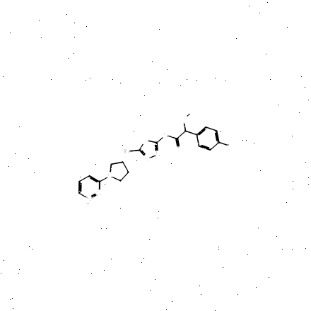 CCOC(C(=O)Nc1nnc(N[C@@H]2CCN(c3cccnn3)C2)s1)c1ccc(F)cc1